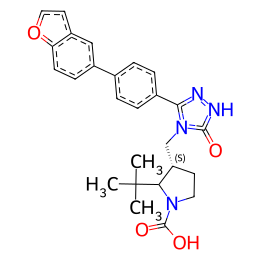 CC(C)(C)C1[C@H](Cn2c(-c3ccc(-c4ccc5occc5c4)cc3)n[nH]c2=O)CCN1C(=O)O